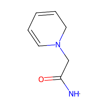 [NH]C(=O)CN1C=CC=CC1